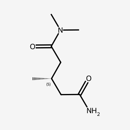 C[C@@H](CC(N)=O)CC(=O)N(C)C